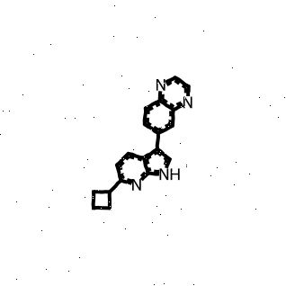 c1cnc2cc(-c3c[nH]c4nc(C5CCC5)ccc34)ccc2n1